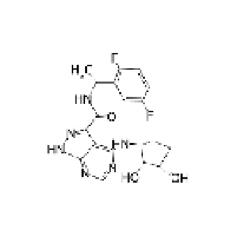 C[C@@H](NC(=O)c1n[nH]c2ncnc(N[C@H]3CC[C@H](O)[C@@H]3O)c12)c1cc(F)ccc1F